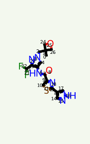 CC1(Cn2cc(NC(=O)c3csc(-c4cn[nH]c4)n3)c(C(F)F)n2)COC1